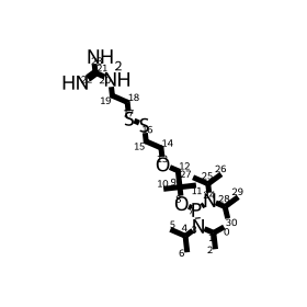 CC(C)N(C(C)C)P(OC(C)(C)COCCSSCCNC(=N)N)N(C(C)C)C(C)C